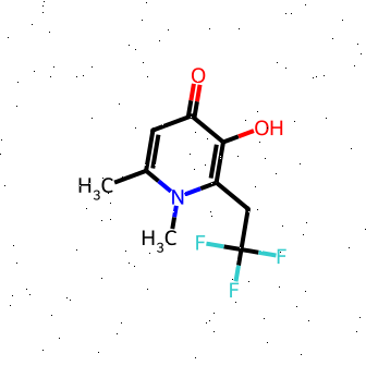 Cc1cc(=O)c(O)c(CC(F)(F)F)n1C